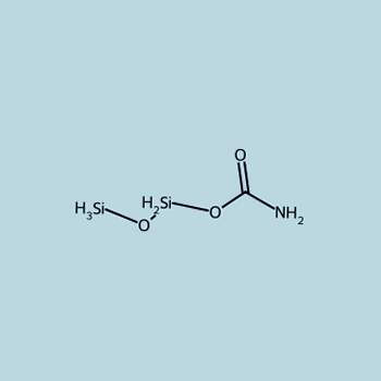 NC(=O)O[SiH2]O[SiH3]